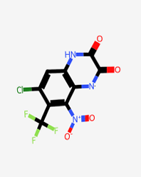 O=C1[N]c2c(cc(Cl)c(C(F)(F)F)c2[N+](=O)[O-])NC1=O